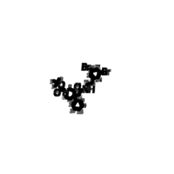 CC(C)(C)OC(=O)N1CCC(CC(=O)NCCc2cc(Br)cc(Br)c2)(c2ccccc2)CC1